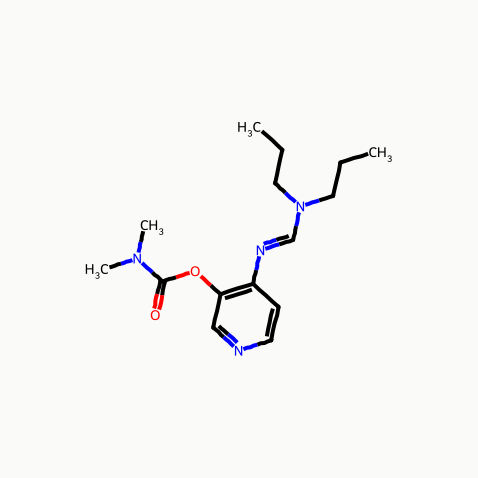 CCCN(C=Nc1ccncc1OC(=O)N(C)C)CCC